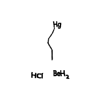 C[CH2][Hg].Cl.[BeH2]